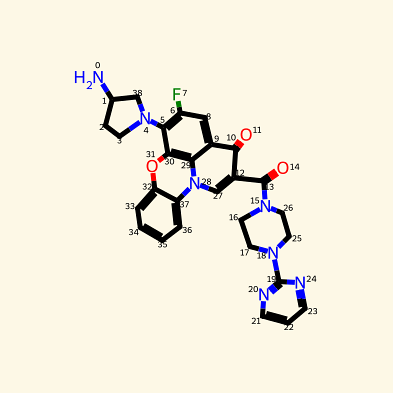 NC1CCN(c2c(F)cc3c(=O)c(C(=O)N4CCN(c5ncccn5)CC4)cn4c3c2Oc2ccccc2-4)C1